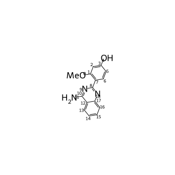 COc1cc(O)ccc1-c1nc(N)c2ccccc2n1